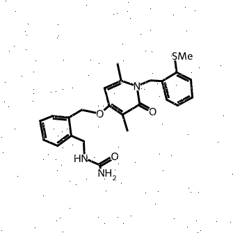 CSc1ccccc1Cn1c(C)cc(OCc2ccccc2CNC(N)=O)c(C)c1=O